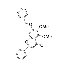 COc1c(OCc2ccccc2)cc2oc(-c3ccccc3)cc(=O)c2c1OC